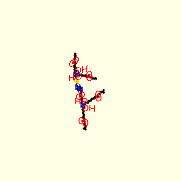 CCCCOC(=O)CCCCC(O)CN(CCCSSCCN1CCN(CCOC(=O)CCCCN(CC(O)CCCCCCC(=O)OCCC(C)C)CC(O)CCCCCCC(=O)OCCC(C)C)CC1)CC(O)CCCCC(=O)OCCCC